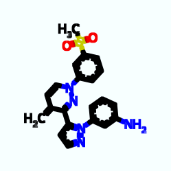 C=C1C=CN(c2cccc(S(C)(=O)=O)c2)N=C1c1ccnn1-c1cccc(N)c1